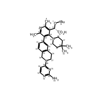 Cc1nc(C)c([C@H](OC(C)(C)C)C(=O)O)c(N2CCC(C)(C)CC2)c1-c1ccc2c(c1)CCN(c1ccnc(N)n1)C2